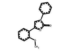 COc1ccccc1-c1cn(-c2ccccc2)c(=O)o1